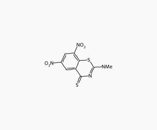 CNc1nc(=S)c2cc([N+](=O)[O-])cc([N+](=O)[O-])c2s1